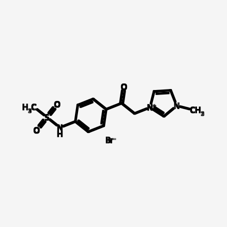 Cn1cc[n+](CC(=O)c2ccc(NS(C)(=O)=O)cc2)c1.[Br-]